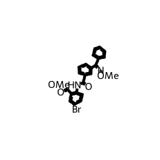 CON=C(c1ccccc1)c1cccc(C(=O)Nc2ccc(Br)cc2C(=O)OC)c1